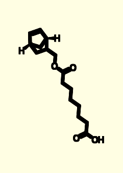 O=C(O)CCCCCCC(=O)OCC1C[C@@H]2C=C[C@H]1C2